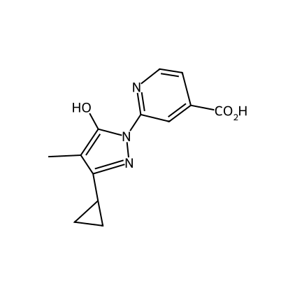 Cc1c(C2CC2)nn(-c2cc(C(=O)O)ccn2)c1O